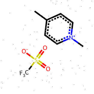 Cc1cc[n+](C)cc1.O=S(=O)([O-])C(F)(F)F